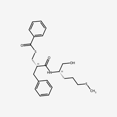 CSCCC[C@@H](CO)NC(=O)[C@@H](CSC(=O)c1ccccc1)Cc1ccccc1